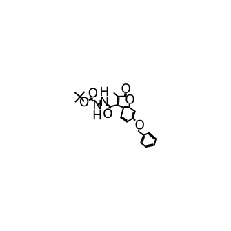 Cc1c(C(=O)NNC(=O)OC(C)(C)C)c2ccc(OCc3ccccc3)cc2oc1=O